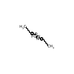 CCCCCCCc1ccc(-c2ncc(OC(=O)c3ccc(CCCCCCC)cc3F)cn2)cc1